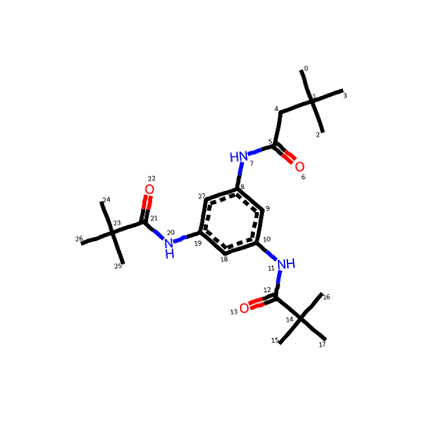 CC(C)(C)CC(=O)Nc1cc(NC(=O)C(C)(C)C)cc(NC(=O)C(C)(C)C)c1